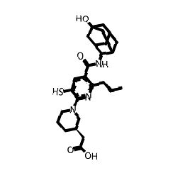 CCCc1nc(N2CCC[C@H](CC(=O)O)C2)c(S)cc1C(=O)NC1C2CC3CC1CC(O)(C3)C2